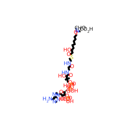 CC(C)(COP(=O)(O)OP(=O)(O)OC[C@H]1O[C@@H](n2cnc3c(N)ncnc32)[C@H](O)[C@@H]1OP(=O)(O)O)[C@@H](O)C(=O)NCCC(=O)NCCSC(=O)C[C@H](O)CCCCCCCON(C=O)CC(=O)O